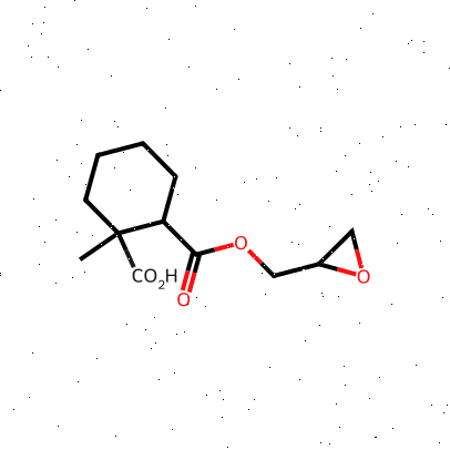 CC1(C(=O)O)CCCCC1C(=O)OCC1CO1